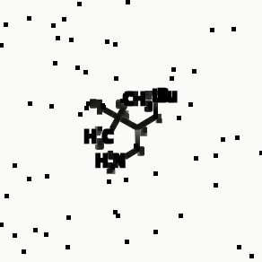 CC(C)(C)CC(CN)C(C)(C)I